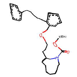 CC(C)(C)OC(=O)N1CCCCC1CCOc1ccccc1CCc1ccccc1